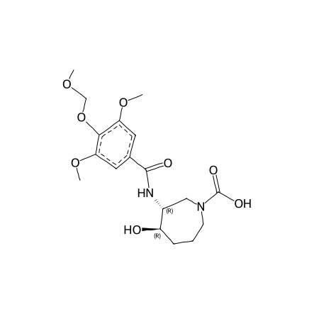 COCOc1c(OC)cc(C(=O)N[C@@H]2CN(C(=O)O)CCC[C@H]2O)cc1OC